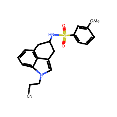 COc1cccc(S(=O)(=O)NC2Cc3cccc4c3c(cn4CCC#N)C2)c1